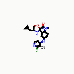 Cn1c(=O)c2c(c3cc(Nc4ccnc(Cl)c4C#N)ccc31)NC(CC1CC1)CO2